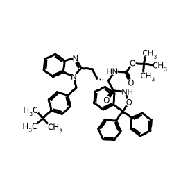 CC(C)(C)OC(=O)N[C@@H](CCc1nc2ccccc2n1Cc1ccc(C(C)(C)C)cc1)C(=O)NOC(c1ccccc1)(c1ccccc1)c1ccccc1